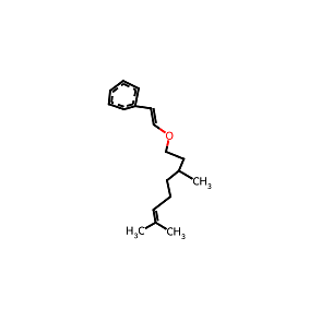 CC(C)=CCCC(C)CCOC=Cc1ccccc1